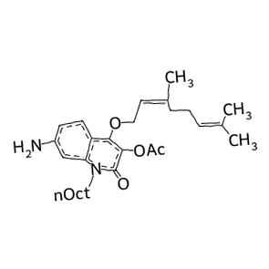 CCCCCCCCn1c(=O)c(OC(C)=O)c(OCC=C(C)CCC=C(C)C)c2ccc(N)cc21